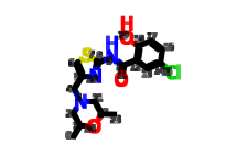 CC1CN(Cc2csc(NC(=O)c3cc(Cl)ccc3O)n2)CC(C)O1